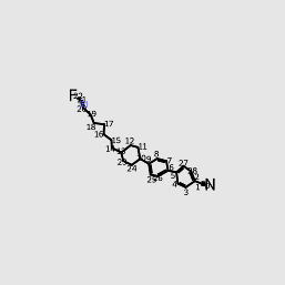 N#Cc1ccc(-c2ccc(C3CCC(CCCCCC/C=C/F)CC3)cc2)cc1